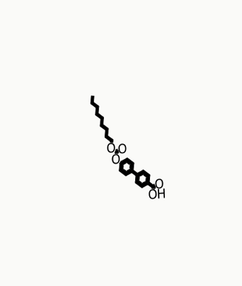 CCCCCCCCCOC(=O)Oc1ccc(-c2ccc(C(=O)O)cc2)cc1